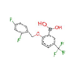 OB(O)c1cc(C(F)(F)F)ccc1OCc1ccc(F)cc1F